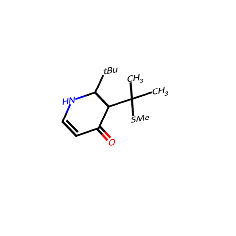 CSC(C)(C)C1C(=O)C=CNC1C(C)(C)C